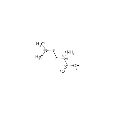 CN(C)CC[C@H](N)C(=O)O